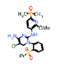 COc1nc(P(C)(C)=O)ccc1NC1=NC(N)=C(Cl)CN1c1ccccc1S(=O)(=O)C(C)C